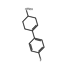 CCCCCCC1CC=C(c2ccc(F)cc2)CC1